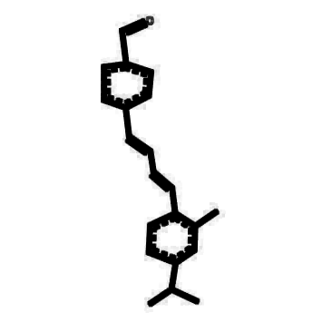 Cc1cc(C(C)C)ccc1C=CC=Cc1ccc(C=O)cc1